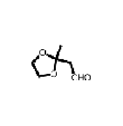 CC1(CC=O)OCCO1